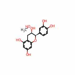 CO.Oc1cc(O)c2c(c1)O[C@H](c1ccc(O)c(O)c1)[C@H](O)C2